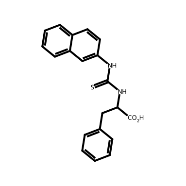 O=C(O)C(Cc1ccccc1)NC(=S)Nc1ccc2ccccc2c1